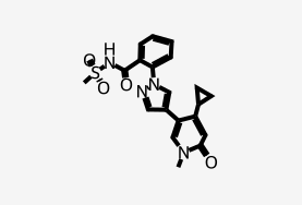 Cn1cc(-c2cnn(-c3ccccc3C(=O)NS(C)(=O)=O)c2)c(C2CC2)cc1=O